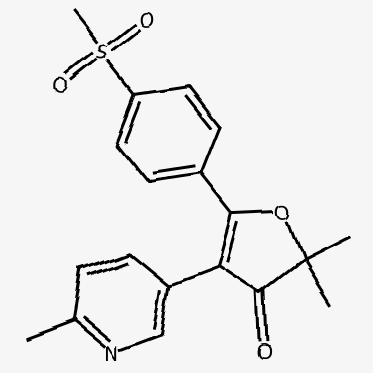 Cc1ccc(C2=C(c3ccc(S(C)(=O)=O)cc3)OC(C)(C)C2=O)cn1